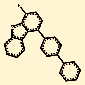 Fc1ccc(-c2ccc(-c3ccccc3)cc2)c2c1sc1ccccc12